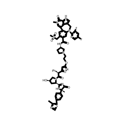 Cc1ncsc1-c1ccc([C@]2(C)NC([C@H]3C[C@@H](O)CN3C(=O)[C@H](c3cc(OCCN4CC[C@H](NC(=O)c5cc6c(cc5CS(C)(=O)=O)-c5cn(C)c(=O)c7[nH]cc(c57)CN6c5ncc(F)cc5F)C4)no3)C(C)C)=NC2=O)cc1